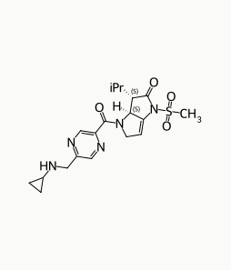 CC(C)[C@@H]1C(=O)N(S(C)(=O)=O)C2=CCN(C(=O)c3cnc(CNC4CC4)cn3)[C@H]21